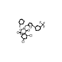 O=C(O)[C@H](Cc1ccccc1)N(Cc1ccc(-c2cccc(C(F)(F)F)c2)o1)C(=O)c1ccc(Cl)cc1Cl